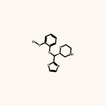 CCOc1ccccc1OC(c1ncco1)[C@@H]1CNCCO1